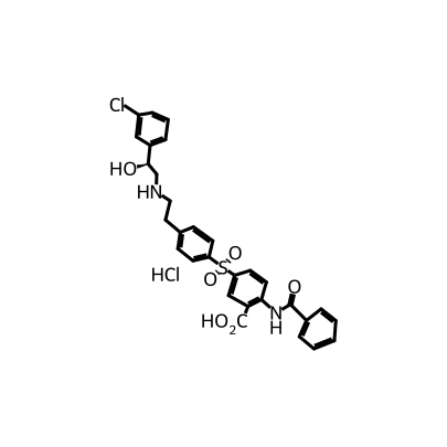 Cl.O=C(Nc1ccc(S(=O)(=O)c2ccc(CCNC[C@@H](O)c3cccc(Cl)c3)cc2)cc1C(=O)O)c1ccccc1